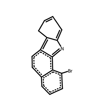 Brc1cccc2ccc3c(c12)=NC1=CC=CCC=31